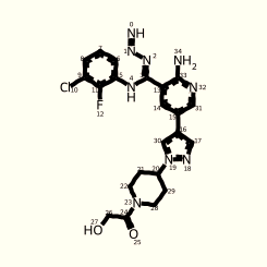 N=N/N=C(\Nc1cccc(Cl)c1F)c1cc(-c2cnn(C3CCN(C(=O)CO)CC3)c2)cnc1N